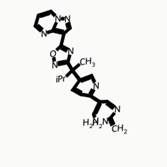 C=C(N)/N=C\C(=C/N)c1ccc(C(C)(c2noc(-c3cnn4cccnc34)n2)C(C)C)cn1